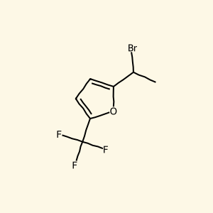 CC(Br)c1ccc(C(F)(F)F)o1